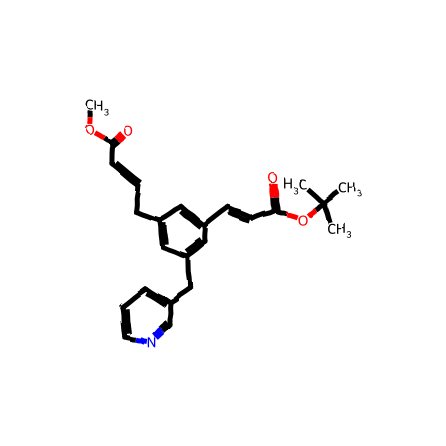 COC(=O)C=CCc1cc(C=CC(=O)OC(C)(C)C)cc(Cc2cccnc2)c1